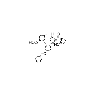 Cc1cc(OCc2ccccc2)cc(C)c1[C@@H]1CN[C@H](C(=O)N2CCC[C@H]2C#N)C1.Cc1ccc(S(=O)(=O)O)cc1